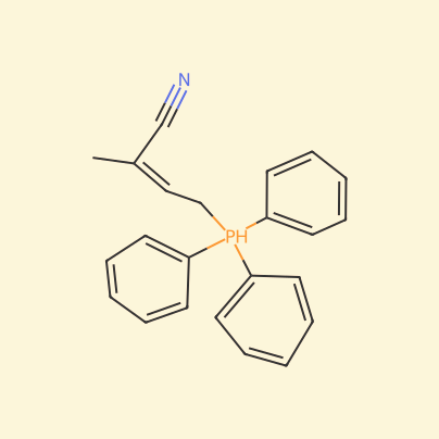 C/C(C#N)=C/C[PH](c1ccccc1)(c1ccccc1)c1ccccc1